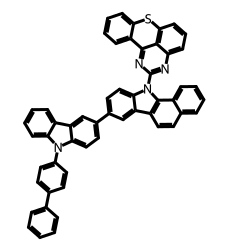 c1ccc(-c2ccc(-n3c4ccccc4c4cc(-c5ccc6c(c5)c5ccc7ccccc7c5n6-c5nc6c7c(cccc7n5)Sc5ccccc5-6)ccc43)cc2)cc1